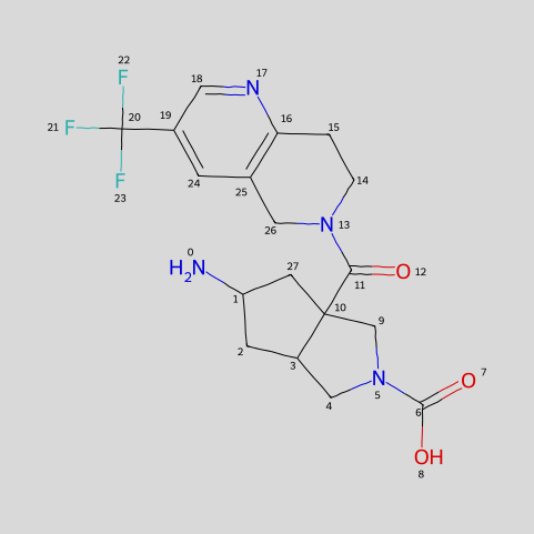 NC1CC2CN(C(=O)O)CC2(C(=O)N2CCc3ncc(C(F)(F)F)cc3C2)C1